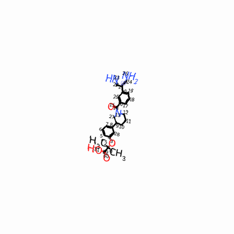 CC(C)(Oc1cccc(C2CCCN(C(=O)c3cccc(/C(C=N)=C/N)c3)C2)c1)C(=O)O